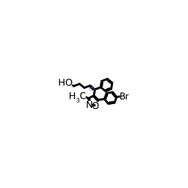 Cc1noc(-c2ccc(Br)cc2)c1/C(=C\CCCO)c1ccccc1